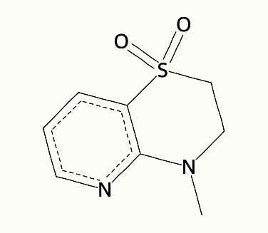 CN1CCS(=O)(=O)c2cccnc21